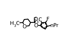 CCCc1ccc(OC(=O)C2CCC(C)OC2)c(C(F)(F)F)c1F